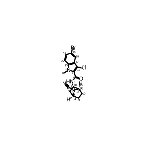 Cn1c(C(=O)N[C@@H]2C[C@@H]3CC[C@H]2N3C#N)c(Cl)c2cc(Br)ccc21